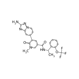 CC(NC(=O)c1cc(-c2ccn3nc(N)nc3c2)c(=O)n(C)c1)c1ccccc1OC(F)(F)F